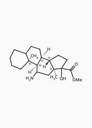 COC(=O)C1(O)CC[C@H]2[C@@H]3CCC4CCCC[C@]4(C)[C@@H]3C(N)C[C@@]21C